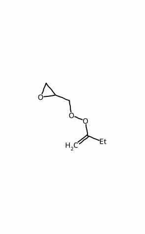 C=C(CC)OOCC1CO1